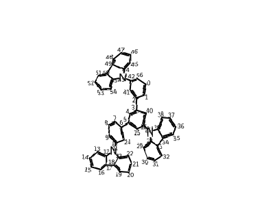 c1cc(-c2cc(-c3cccc(-n4c5ccccc5c5ccccc54)c3)cc(-n3c4ccccc4c4ccccc43)c2)cc(-n2c3ccccc3c3ccccc32)c1